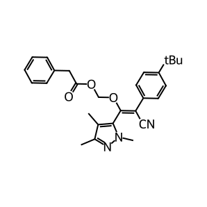 Cc1nn(C)c(/C(OCOC(=O)Cc2ccccc2)=C(\C#N)c2ccc(C(C)(C)C)cc2)c1C